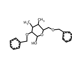 CC1C(COCc2ccccc2)OC(O)C(OCc2ccccc2)C1C